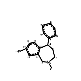 CN1CCC(c2ccccc2)c2ccc(F)cc2C1